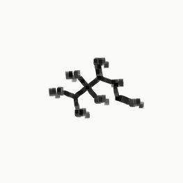 C=CNC(=C)C(C)(C)C(C)C